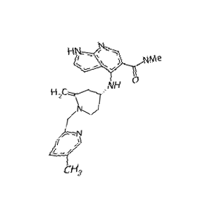 C=C1C[C@H](Nc2c(C(=O)NC)cnc3[nH]ccc23)CCN1Cc1ccc(C)cn1